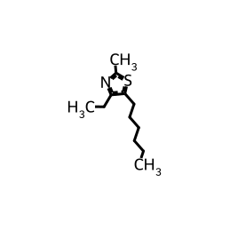 CCCCCCc1sc(C)nc1CC